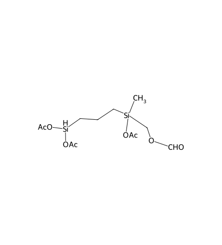 CC(=O)O[SiH](CCC[Si](C)(COC=O)OC(C)=O)OC(C)=O